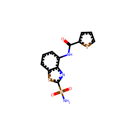 NS(=O)(=O)c1nc2c(NC(=O)c3cccs3)cccc2s1